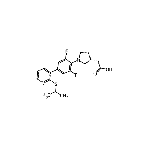 CC(C)Sc1ncccc1-c1cc(F)c(N2CC[C@H](CC(=O)O)C2)c(F)c1